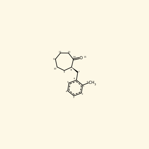 Cc1ccccc1C[C@H]1CCCCCC1=O